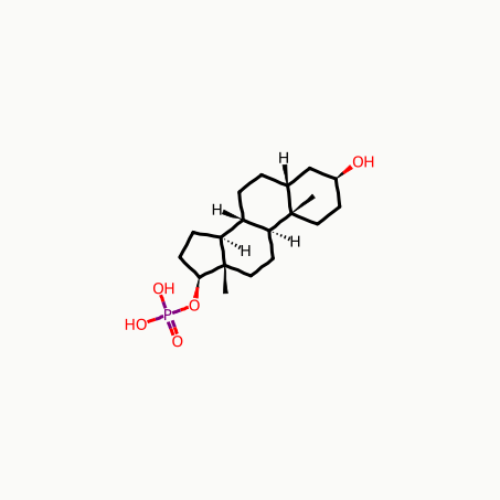 C[C@]12CC[C@H](O)C[C@H]1CC[C@@H]1[C@@H]2CC[C@]2(C)[C@@H](OP(=O)(O)O)CC[C@@H]12